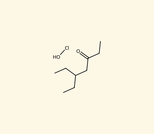 CCC(=O)CC(CC)CC.OCl